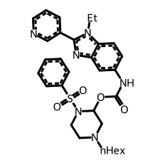 CCCCCCN1CCN(S(=O)(=O)c2ccccc2)C(OC(=O)Nc2ccc3c(c2)nc(-c2cccnc2)n3CC)C1